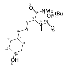 CNC(=O)C(CCCC1CCC(O)CC1)NC(=O)OC(C)(C)C